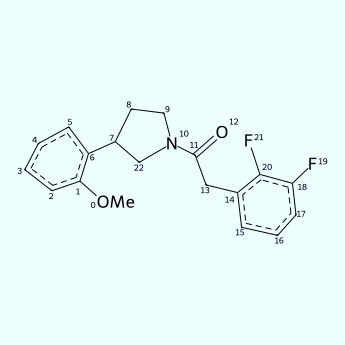 COc1ccccc1C1CCN(C(=O)Cc2cccc(F)c2F)C1